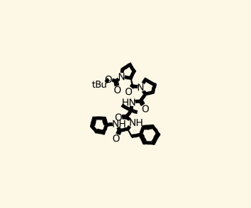 CC(C)(C)OC(=O)N1CCC[C@H]1C(=O)N1CCCC1C(=O)NC(C)(C)C(=O)N[C@@H](Cc1ccccc1)C(=O)Nc1ccccc1